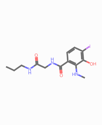 CCCNC(=O)CNC(=O)c1ccc(I)c(O)c1NC